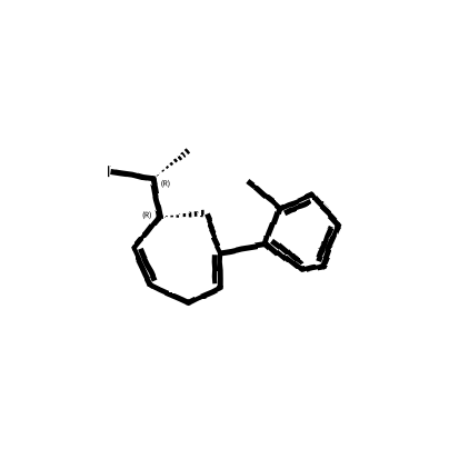 Cc1ccccc1C1=CCC=C[C@H]([C@@H](C)I)C1